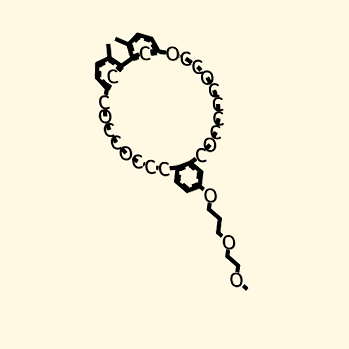 COCCOCCCOc1ccc2c(c1)COCCCCOCCOc1ccc(C)c(c1)-c1cc(ccc1C)COCCOCCC2